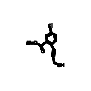 COC(=O)c1cc(Cl)ccc1C#CCO